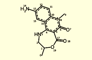 CC1CNc2c(c(=O)n(C)c3ccc(N)cc23)C(=O)O1